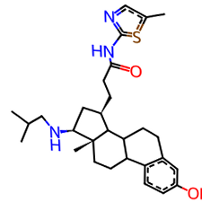 Cc1cnc(NC(=O)CC[C@@H]2C[C@H](NCC(C)C)[C@@]3(C)CCC4c5ccc(O)cc5CCC4C23)s1